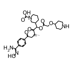 C[C@H](CC(=O)c1ccc(C(N)=NO)cc1)C(=O)C(OC(=O)COC1CCNCC1)C1CCCN(C(=O)O)C1